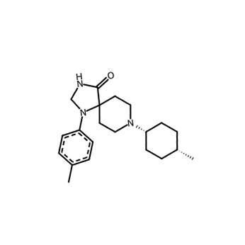 Cc1ccc(N2CNC(=O)C23CCN([C@H]2CC[C@@H](C)CC2)CC3)cc1